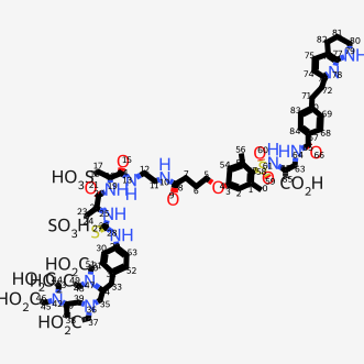 Cc1cc(OCCCC(=O)NCCNC(=O)C(CS(=O)(=O)O)NC(=O)C(CS(=O)(=O)O)NC(=S)Nc2ccc(CC(CN(CC(=O)O)CC(C)N(CC(=O)O)CC(=O)O)N(CC(=O)O)CC(=O)O)cc2)cc(C)c1S(=O)(=O)NC(CNC(=O)c1ccc(CCc2ccc3c(n2)NCCC3)cc1)C(=O)O